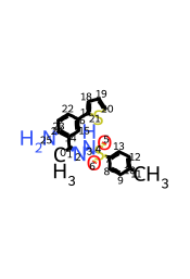 CC(=NNS(=O)(=O)c1ccc(C)cc1)c1cc(-c2cccs2)ccc1N